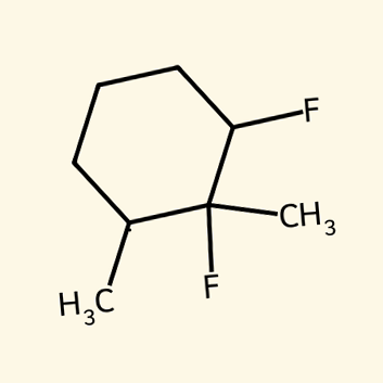 C[C]1CCCC(F)C1(C)F